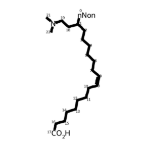 CCCCCCCCCC(CCCCCC/C=C\CCCCCCCC(=O)O)CCN(C)C